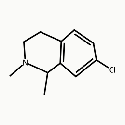 CC1c2cc(Cl)ccc2CCN1C